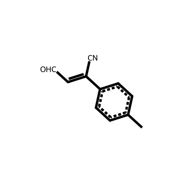 Cc1ccc(C(C#N)=CC=O)cc1